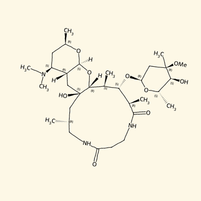 CO[C@]1(C)C[C@H](O[C@H]2[C@H](C)[C@H]3O[C@@H]4O[C@H](C)C[C@H](N(C)C)[C@H]4C[C@@]3(O)C[C@@H](C)CNC(=O)CCNC(=O)[C@@H]2C)O[C@@H](C)[C@@H]1O